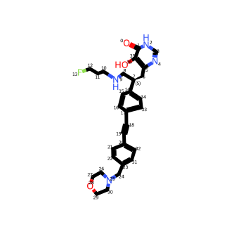 O=c1[nH]cnc(C[C@H](CNCCCF)c2ccc(C#Cc3ccc(CN4CCOCC4)cc3)cc2)c1O